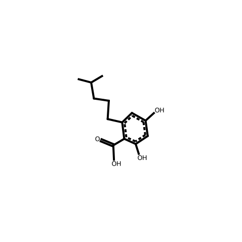 CC(C)CCCc1cc(O)cc(O)c1C(=O)O